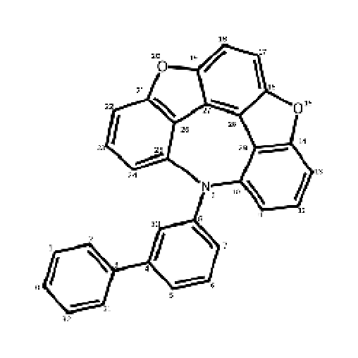 c1ccc(-c2cccc(-n3c4cccc5oc6ccc7oc8cccc3c8c7c6c54)c2)cc1